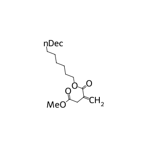 C=C(CC(=O)OC)C(=O)OCCCCCCCCCCCCCCCC